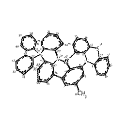 Cc1cc2c3c(c1)N1c4ccccc4Sc4cccc(c41)B3N1c3ccccc3[Si](c3ccccc3)(c3ccccc3)c3cccc-2c31